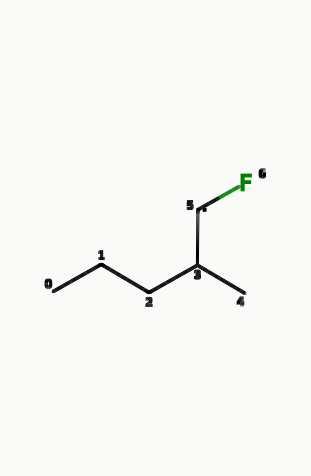 CCCC(C)[CH]F